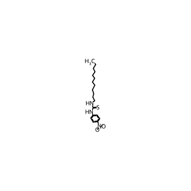 CCCCCCCCCCCCNC(=S)Nc1ccc([N+](=O)[O-])cc1